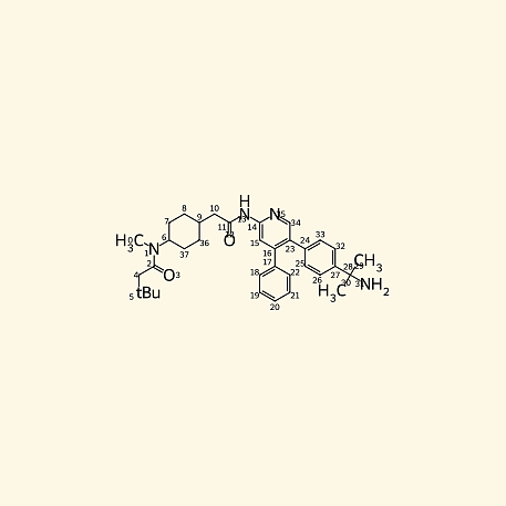 CN(C(=O)CC(C)(C)C)C1CCC(CC(=O)Nc2cc(-c3ccccc3)c(-c3ccc(C(C)(C)N)cc3)cn2)CC1